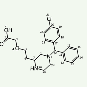 O=C(O)COCCC1CN(C(c2ccccc2)c2ccc(Cl)cc2)CCN1